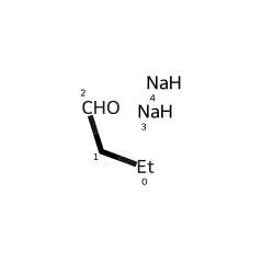 CCCC=O.[NaH].[NaH]